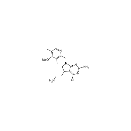 COc1c(C)cnc(CN2CC(CCN)c3c(Cl)nc(N)nc32)c1C